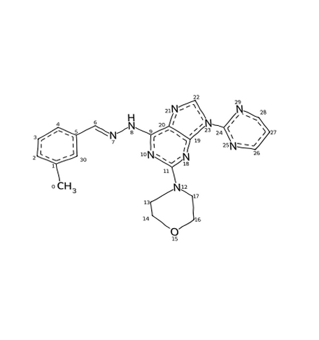 Cc1cccc(C=NNc2nc(N3CCOCC3)nc3c2ncn3-c2ncccn2)c1